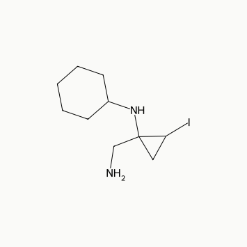 NCC1(NC2CCCCC2)CC1I